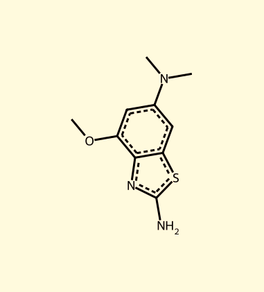 COc1cc(N(C)C)cc2sc(N)nc12